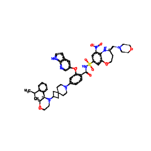 CC(C)c1ccccc1[C@@H]1COCCN1C1CC2(CCN(c3ccc(C(=O)NS(=O)(=O)c4cc5c(c([N+](=O)[O-])c4)N[C@@H](CN4CCOCC4)CCO5)c(Oc4cnc5[nH]ccc5c4)c3)CC2)C1